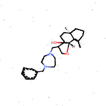 CC1=C2[C@@H]3OCC(CN4CCN(Cc5ccccc5)CC4)C3(O)CC[C@@]2(C)CCC1